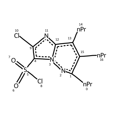 CCCc1nn2c(S(=O)(=O)Cl)c(Cl)nc2c(CCC)c1CCC